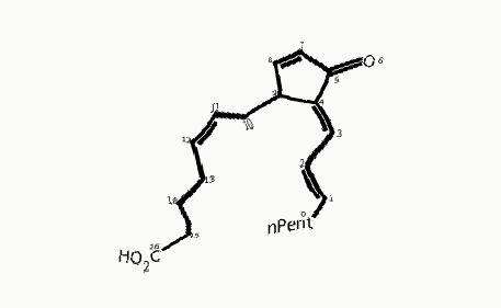 CCCCC/C=C/C=C1/C(=O)C=CC1C/C=C\CCCC(=O)O